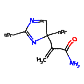 C=C(C(N)=O)C1(CCC)C=NC(CCC)=N1